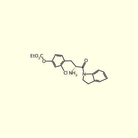 CCOC(=O)Oc1ccc(C[C@@H](N)C(=O)N2CCc3ccccc32)c(Cl)c1